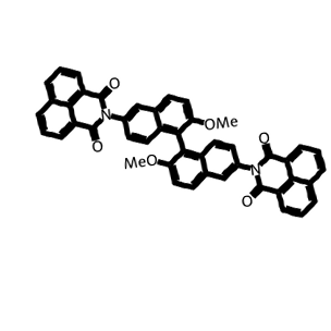 COc1ccc2cc(N3C(=O)c4cccc5cccc(c45)C3=O)ccc2c1-c1c(OC)ccc2cc(N3C(=O)c4cccc5cccc(c45)C3=O)ccc12